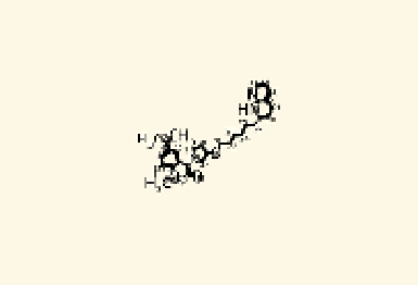 COc1c(F)cc(C(C)C)cc1[C@@H](C(=O)O)N1CC[C@@H](OCCCCCC[C@H]2CCc3cccnc3N2)C1